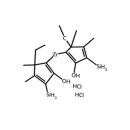 CCC1(C)C(C)=C([SiH3])C(O)=[C]1[Zr][C]1=C(O)C([SiH3])=C(C)C1(C)CC.Cl.Cl